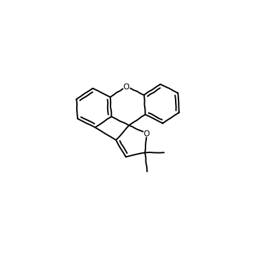 CC1(C)C=C2c3cccc4c3C2(O1)c1ccccc1O4